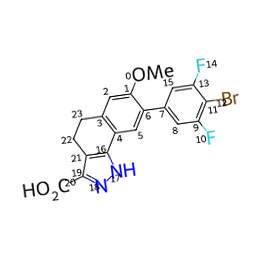 COc1cc2c(cc1-c1cc(F)c(Br)c(F)c1)-c1[nH]nc(C(=O)O)c1CC2